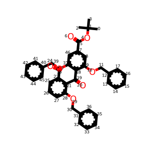 CC(C)(C)OC(=O)c1cc(OCc2ccccc2)c(C(=O)c2c(C=O)cccc2OCc2ccccc2)c(OCc2ccccc2)c1